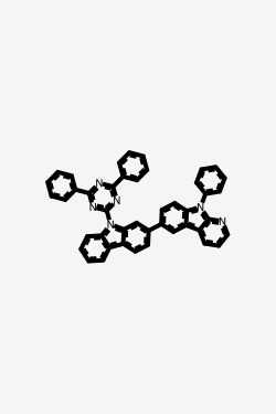 c1ccc(-c2nc(-c3ccccc3)nc(-n3c4ccccc4c4ccc(-c5ccc6c(c5)c5cccnc5n6-c5ccccc5)cc43)n2)cc1